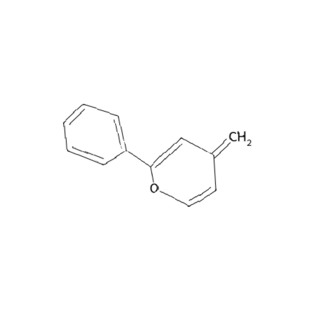 C=C1C=COC(c2ccccc2)=C1